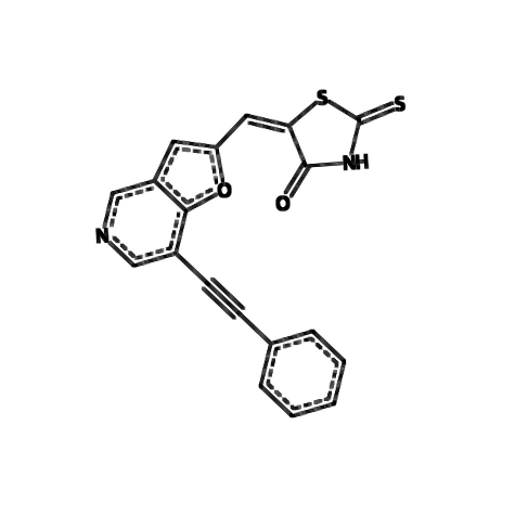 O=C1NC(=S)SC1=Cc1cc2cncc(C#Cc3ccccc3)c2o1